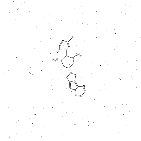 CN1C[C@H](N2Cc3nn4cccnc4c3C2)C[C@H](N)C1c1cc(F)ccc1F